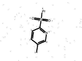 [CH2]c1ccc(S(=O)(=O)C(C)C)nc1